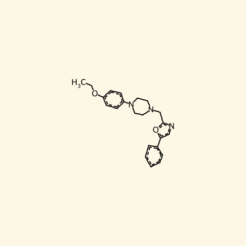 CCOc1ccc(N2CCN(Cc3ncc(-c4ccccc4)o3)CC2)cc1